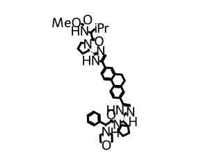 COC(=O)NC(C(=O)N1CCC[C@H]1c1ncc(-c2ccc3c(c2)CCc2cc(-c4cnc([C@@H]5[C@H]6CC[C@H](C6)N5C(=O)[C@@H](c5ccccc5)N5CCOCC5)[nH]4)ccc2-3)[nH]1)C(C)C